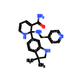 CC1(C)CNc2cc(C3(NCc4ccncc4)NC=CC=C3C(N)=O)ccc21